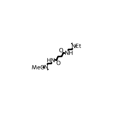 CCN(C)CCNC(=O)CCC(=O)NCCN(C)OC